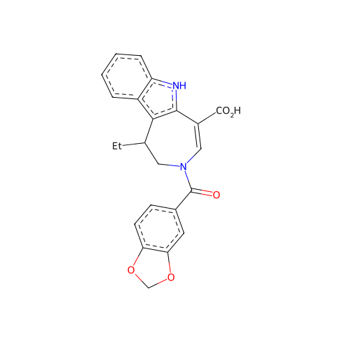 CCC1CN(C(=O)c2ccc3c(c2)OCO3)C=C(C(=O)O)c2[nH]c3ccccc3c21